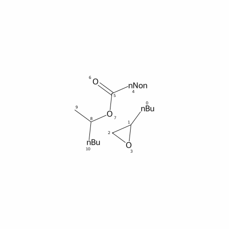 CCCCC1CO1.CCCCCCCCCC(=O)OC(C)CCCC